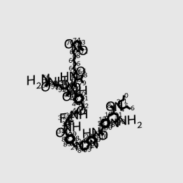 CCCN(CCC)C(=O)C1=Cc2ccc(C(=O)Nc3cnc4c(c3)CN(Cc3ccc(C(=O)NCC(F)(F)CNCOCc5ccc(NC(=O)C(CCCNC(N)=O)NC(=O)C(NC(=O)CCCCCN6C(=O)C=CC6=O)C(C)C)cc5)cc3)CC4)cc2N=C(N)C1